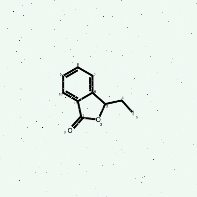 O=C1OC(CI)c2ccccc21